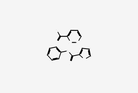 NC(=O)C1=CC=COS1.O=C(Nc1ccccc1)c1ccco1